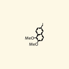 COc1ccc2cc(I)ccc2c1OC